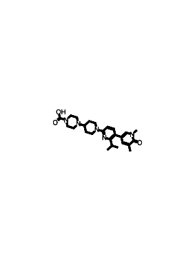 Cc1cc(-c2ccc(N3CCC(N4CCN(C(=O)O)CC4)CC3)nc2C(C)C)cn(C)c1=O